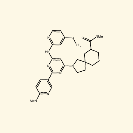 CNC(=O)C1CCCC2(CCN(c3cc(Nc4cc(OC(F)(F)F)ccn4)nc(-c4ccc(NC)nc4)n3)C2)C1